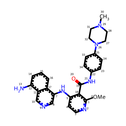 COc1nccc(Nc2cncc3c(N)cccc23)c1C(=O)Nc1ccc(N2CCN(C)CC2)cc1